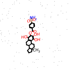 C[C@@]12CCCC1C1CCc3c(O)c(OC(=O)c4ccc(S(N)(=O)=O)cc4)c(O)c(O)c3C1CC2